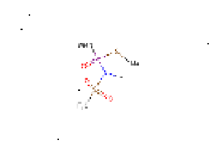 CCC(C)SP(=O)(NC)N(C)S(=O)(=O)C(F)(F)F